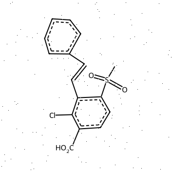 CS(=O)(=O)c1ccc(C(=O)O)c(Cl)c1C=Cc1ccccc1